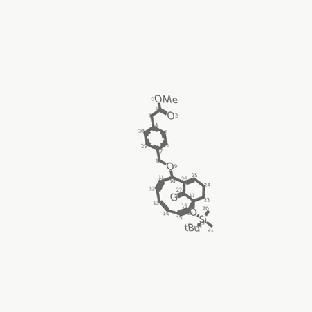 COC(=O)Cc1ccc(COC2C#C/C=C\C#CC3(O[Si](C)(C)C(C)(C)C)CCC=C2C3=O)cc1